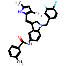 Cc1cccc(C(=O)Nc2ccc3c(c2)C(=Cc2[nH]c(C)cc2C)CN3Cc2ccc(F)c(F)c2)c1